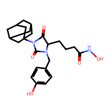 O=C(CCCC1C(=O)N(C23CC4CC(CC(C4)C2)C3)C(=O)N1Cc1ccc(O)cc1)NO